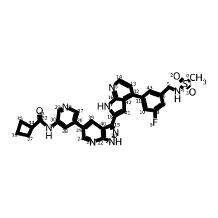 CS(=O)(=O)NCc1cc(F)cc(-c2ccnc3[nH]c(-c4n[nH]c5ncc(-c6cncc(NC(=O)C7CCC7)c6)cc45)cc23)c1